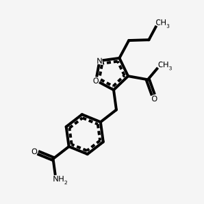 CCCc1noc(Cc2ccc(C(N)=O)cc2)c1C(C)=O